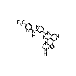 FC(F)(F)c1ccc(Nc2cc(-c3nc(N4CCNCC4)c4c(C5=CC=C5)cncc4n3)ccn2)nc1